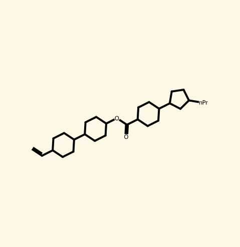 C=CC1CCC(C2CCC(OC(=O)C3CCC(C4CCC(CCC)C4)CC3)CC2)CC1